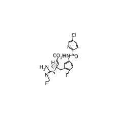 C[C@](/C=C/C(=O)O)(Cc1cc(NC(=O)c2ccc(Cl)cn2)ccc1F)S/C(N)=N\CF